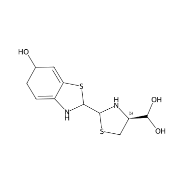 OC1C=C2SC(C3N[C@@H](C(O)O)CS3)NC2=CC1